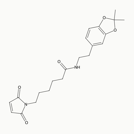 CC1(C)Oc2ccc(CCNC(=O)CCCCCN3C(=O)C=CC3=O)cc2O1